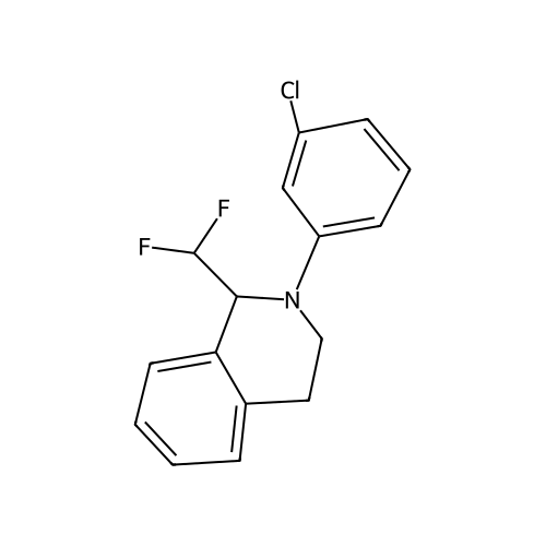 FC(F)C1c2ccccc2CCN1c1cccc(Cl)c1